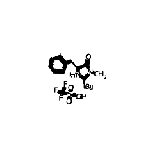 CN1C(=O)[C@H](Cc2ccccc2)N[C@@H]1C(C)(C)C.O=S(=O)(O)C(F)(F)F